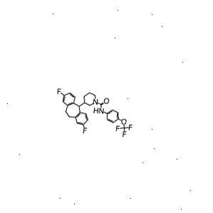 O=C(Nc1ccc(OC(F)(F)F)cc1)N1CCCC(C2c3ccc(F)cc3CCc3cc(F)ccc32)C1